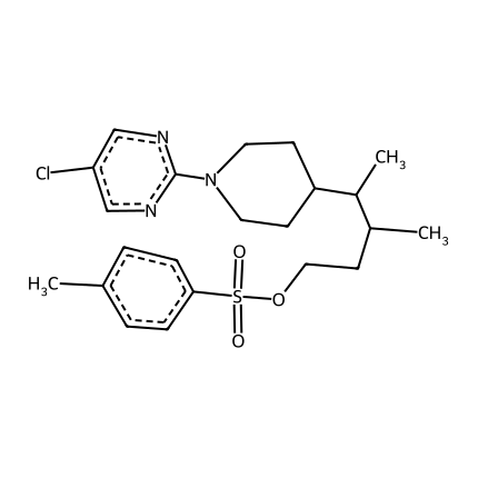 Cc1ccc(S(=O)(=O)OCCC(C)C(C)C2CCN(c3ncc(Cl)cn3)CC2)cc1